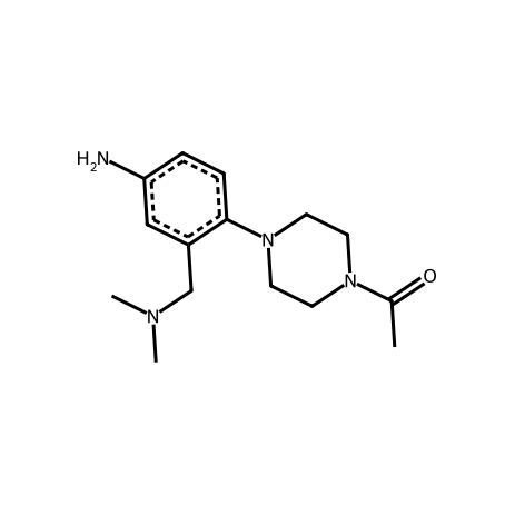 CC(=O)N1CCN(c2ccc(N)cc2CN(C)C)CC1